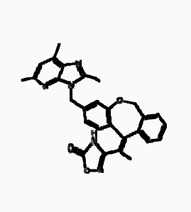 C/C(=C1\c2ccccc2COc2cc(Cn3c(C)nc4c(C)cc(C)nc43)ccc21)c1noc(=O)[nH]1